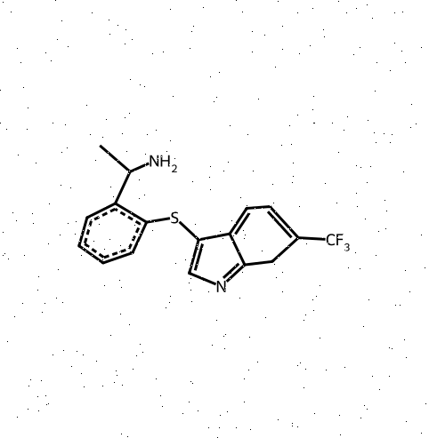 CC(N)c1ccccc1SC1=CN=C2CC(C(F)(F)F)=CC=C12